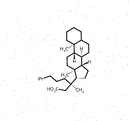 CC(C)CCC[C@](C)(CC(=O)O)[C@H]1CC[C@H]2[C@@H]3CCC4CCCC[C@]4(C)[C@H]3CC[C@]12C